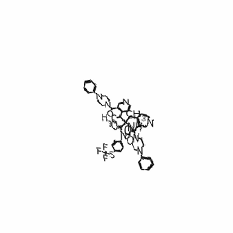 CC(c1ccncc1C(=O)N1CCN(c2ccccc2)CC1)C1(C(C)c2ccncc2C(=O)N2CCN(c3ccccc3)CC2)NC(=O)N(c2ccc(SC(F)(F)F)cc2)C1=O